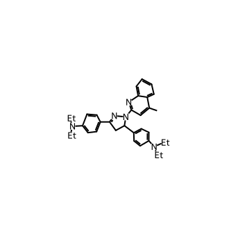 CCN(CC)c1ccc(C2=NN(c3cc(C)c4ccccc4n3)C(c3ccc(N(CC)CC)cc3)C2)cc1